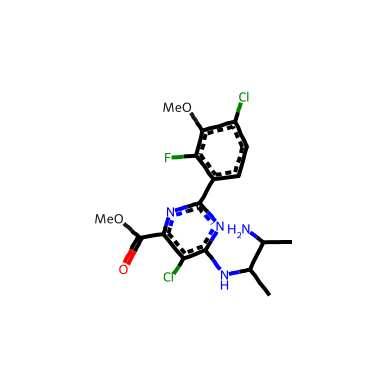 COC(=O)c1nc(-c2ccc(Cl)c(OC)c2F)nc(NC(C)C(C)N)c1Cl